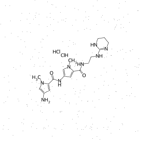 Cl.Cl.Cn1cc(NC(=O)c2cc(N)cn2C)cc1C(=O)NCCNC1=NCCCN1